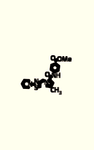 COC(=O)[C@H]1CC[C@@H](NC(=O)c2cc(C)cn2Cc2csc(N3CCCCC3)n2)CC1